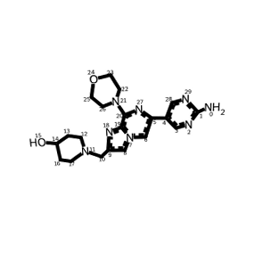 Nc1ncc(-c2cn3cc(CN4CCC(O)CC4)nc3c(N3CCOCC3)n2)cn1